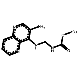 CC(C)(C)OC(=O)NCNc1c(N)cnc2cccnc12